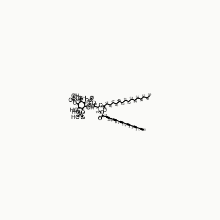 C#CC#CC#CC#CC#CC#CC(=O)OC[C@H](COP(=O)(O)OC1C(O)[C@@H](OP(=O)(O)O)C(O)[C@@H](OP(=O)(O)O)[C@H]1O)OC(=O)CCCCCCCCCCCCCCC